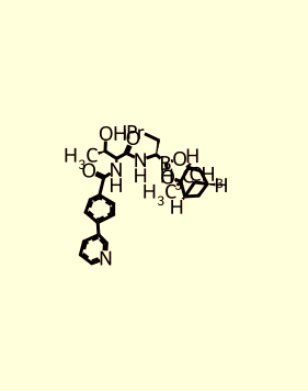 CC(C)C[C@H](NC(=O)[C@@H](NC(=O)c1ccc(-c2cccnc2)cc1)[C@@H](C)O)B1O[C@@H]2C[C@@H]3C[C@@H](C3(C)C)[C@]2(C)O1